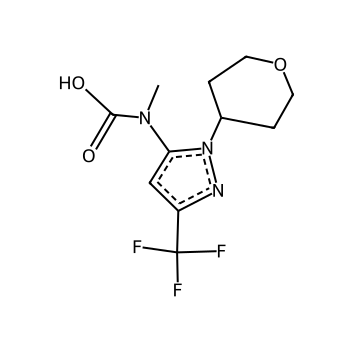 CN(C(=O)O)c1cc(C(F)(F)F)nn1C1CCOCC1